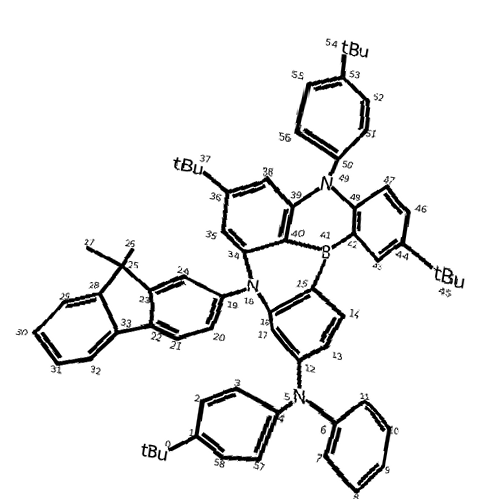 CC(C)(C)c1ccc(N(c2ccccc2)c2ccc3c(c2)N(c2ccc4c(c2)C(C)(C)c2ccccc2-4)c2cc(C(C)(C)C)cc4c2B3c2cc(C(C)(C)C)ccc2N4c2ccc(C(C)(C)C)cc2)cc1